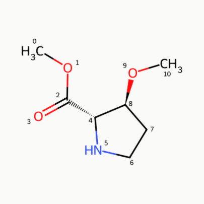 COC(=O)[C@H]1NCC[C@@H]1OC